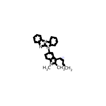 C=C/C=C\c1c(C)n(C)c2ccc(-n3c4ccccc4n4c5ccccc5nc34)cc12